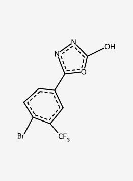 Oc1nnc(-c2ccc(Br)c(C(F)(F)F)c2)o1